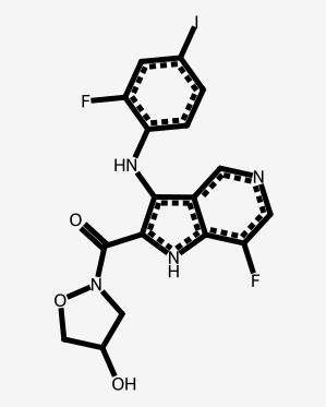 O=C(c1[nH]c2c(F)cncc2c1Nc1ccc(I)cc1F)N1CC(O)CO1